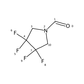 O=[C]N1CC(F)(F)C(F)(F)C1